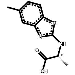 Cc1ccc2oc(N[C@H](C)C(=O)O)nc2c1